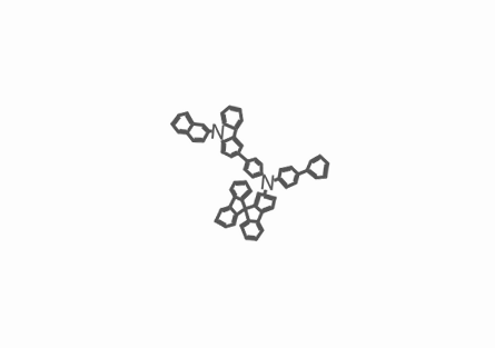 c1ccc(-c2ccc(N(c3ccc(-c4ccc5c(c4)c4ccccc4n5-c4ccc5ccccc5c4)cc3)c3ccc4c(c3)C3(c5ccccc5-c5ccccc53)c3ccccc3-4)cc2)cc1